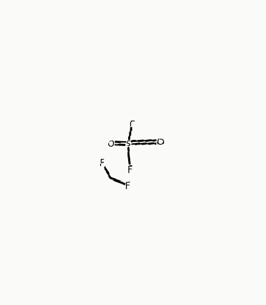 FCF.O=S(=O)(F)F